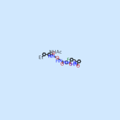 CCc1cccc(-c2cnc(C(=O)NCCOCCNCC(=O)N3CCN(C(=O)c4cc(Cc5n[nH]c(=O)c6ccccc56)ccc4F)CC3)c(NC(C)=O)c2)c1